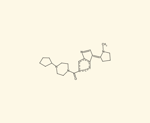 CN1CCC/C1=C1/C=Nc2cc(C(=O)N3CCN(C4CCCC4)CC3)ccc21